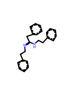 c1ccc(CCN=C(Cc2ccccc2)NCCc2ccccc2)cc1